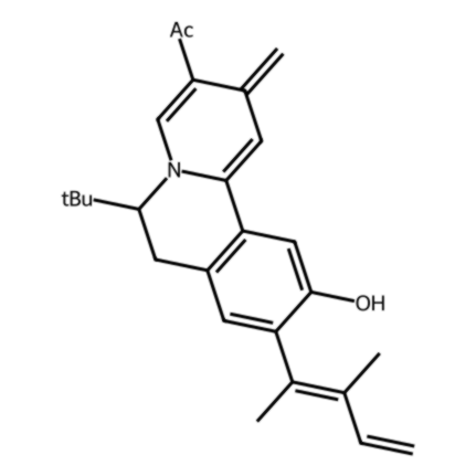 C=C/C(C)=C(\C)c1cc2c(cc1O)C1=CC(=C)C(C(C)=O)=CN1C(C(C)(C)C)C2